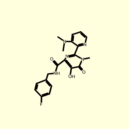 CN(C)c1cccnc1-c1nc(C(=O)NCc2ccc(F)cc2)c(O)c(=O)n1C